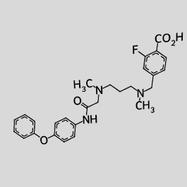 CN(CCCN(C)Cc1ccc(C(=O)O)c(F)c1)CC(=O)Nc1ccc(Oc2ccccc2)cc1